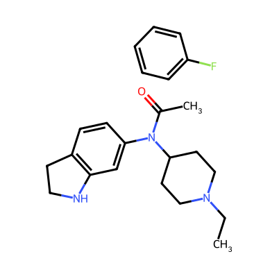 CCN1CCC(N(C(C)=O)c2ccc3c(c2)NCC3)CC1.Fc1ccccc1